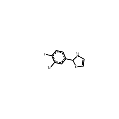 Fc1ccc(C2NC=CO2)cc1Br